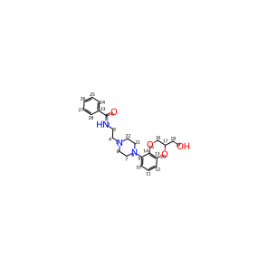 O=C(NCCN1CCN(c2cccc3c2OCC(CO)O3)CC1)c1ccccc1